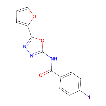 O=C(Nc1nnc(-c2ccco2)o1)c1ccc(I)cc1